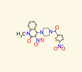 Cn1c(=O)c([N+](=O)[O-])c(N2CCN(C(=O)c3ccc([N+](=O)[O-])s3)CC2)c2ccccc21